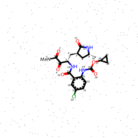 CNC(=O)C(=O)[C@H](C[C@@H]1C[C@@H](C)NC1=O)NC(=O)c1cc(Cl)ccc1NC(=O)OC1CC1